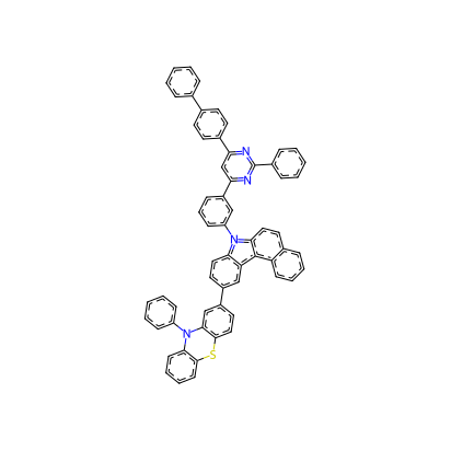 c1ccc(-c2ccc(-c3cc(-c4cccc(-n5c6ccc(-c7ccc8c(c7)N(c7ccccc7)c7ccccc7S8)cc6c6c7ccccc7ccc65)c4)nc(-c4ccccc4)n3)cc2)cc1